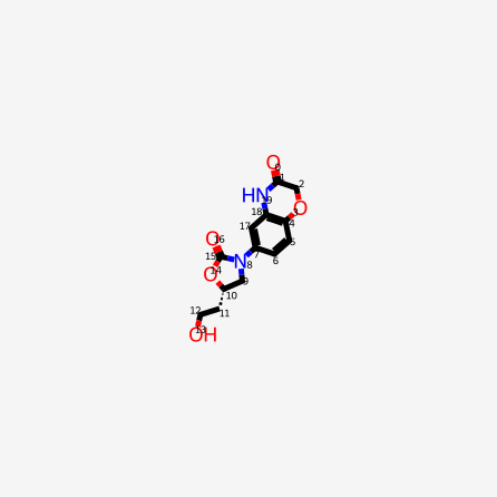 O=C1COc2ccc(N3C[C@H](CCO)OC3=O)cc2N1